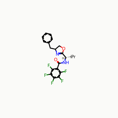 CC(C)[C@H](NC(=O)c1c(F)c(F)c(F)c(F)c1F)C1=NC(Cc2ccccc2)CO1